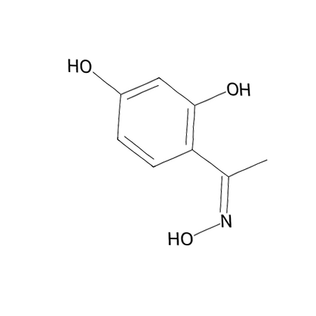 C/C(=N/O)c1ccc(O)cc1O